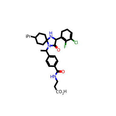 CC(C)C1CCC2(CC1)NC(C1=C(F)C(Cl)=CCC1)C(=O)N2C(C)c1ccc(C(=O)NCCC(=O)O)cc1